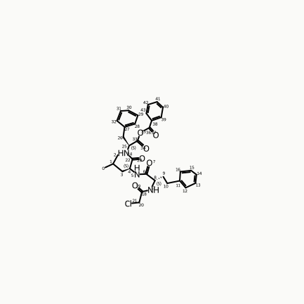 CC(C)C[C@H](NC(=O)[C@H](CCc1ccccc1)NC(=O)CCl)C(=O)N[C@@H](Cc1ccccc1)C(=O)OC(=O)c1ccccc1